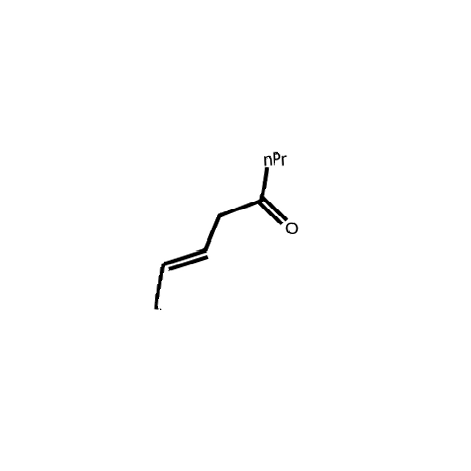 [CH2]/C=C/CC(=O)CCC